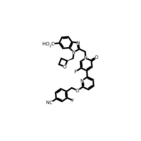 N#Cc1ccc(COc2cccc(-c3cc(=O)n(Cc4nc5ccc(C(=O)O)cc5n4C[C@@H]4CCO4)cc3F)n2)c(F)c1